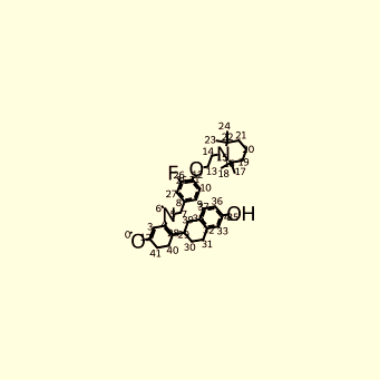 COC1=CC(N(C)Cc2ccc(OCCN3C(C)(C)CCCC3(C)C)c(F)c2)=C(C2CCc3cc(O)ccc3C2)CC1